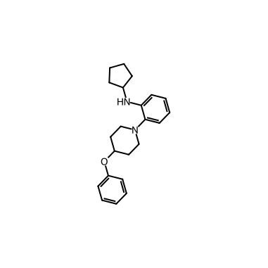 c1ccc(OC2CCN(c3ccccc3NC3CCCC3)CC2)cc1